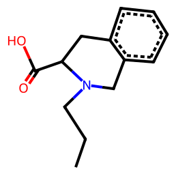 CCCN1Cc2ccccc2CC1C(=O)O